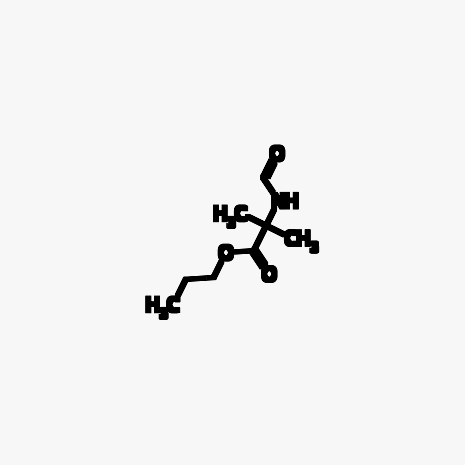 CCCOC(=O)C(C)(C)NC=O